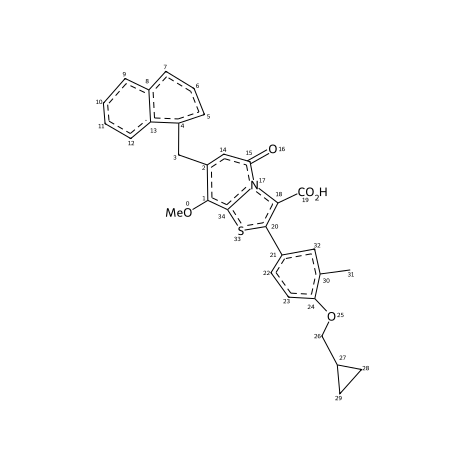 COc1c(Cc2cccc3ccccc23)cc(=O)n2c(C(=O)O)c(-c3ccc(OCC4CC4)c(C)c3)sc12